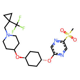 CS(=O)(=O)c1cnc(O[C@H]2CC[C@H](OC3CCN(CC4(C(F)(F)F)CC4)CC3)CC2)cn1